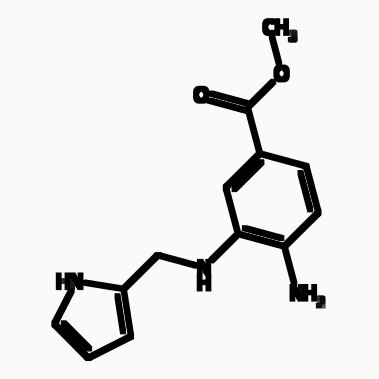 COC(=O)c1ccc(N)c(NCc2ccc[nH]2)c1